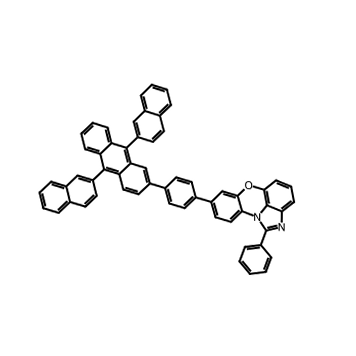 c1ccc(-c2nc3cccc4c3n2-c2ccc(-c3ccc(-c5ccc6c(-c7ccc8ccccc8c7)c7ccccc7c(-c7ccc8ccccc8c7)c6c5)cc3)cc2O4)cc1